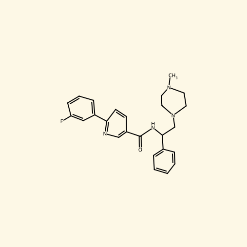 CN1CCN(CC(NC(=O)c2ccc(-c3cccc(F)c3)nc2)c2ccccc2)CC1